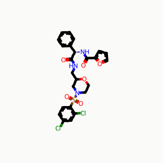 O=C(N[C@H](C(=O)NCC1CN(S(=O)(=O)c2ccc(Cl)cc2Cl)CCO1)c1ccccc1)c1ccco1